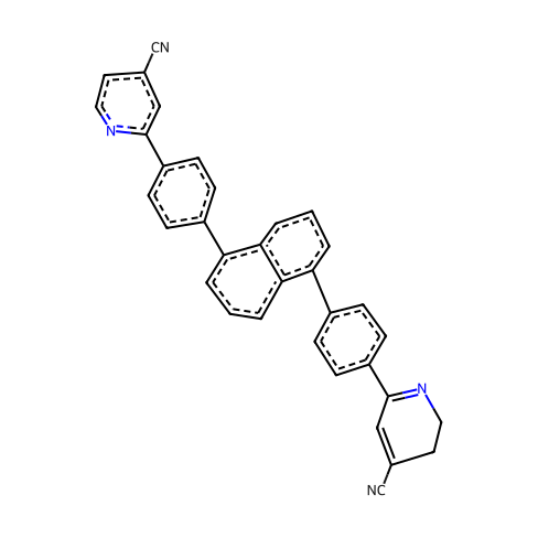 N#CC1=CC(c2ccc(-c3cccc4c(-c5ccc(-c6cc(C#N)ccn6)cc5)cccc34)cc2)=NCC1